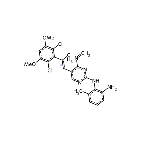 C=Nc1nc(Nc2c(C)cccc2N)ncc1/C=C(\C)c1c(Cl)c(OC)cc(OC)c1Cl